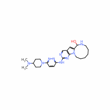 CN(C)C1CCN(c2ccc(Nc3ncc4cc5n(c4n3)CCCCCCNC5O)nn2)CC1